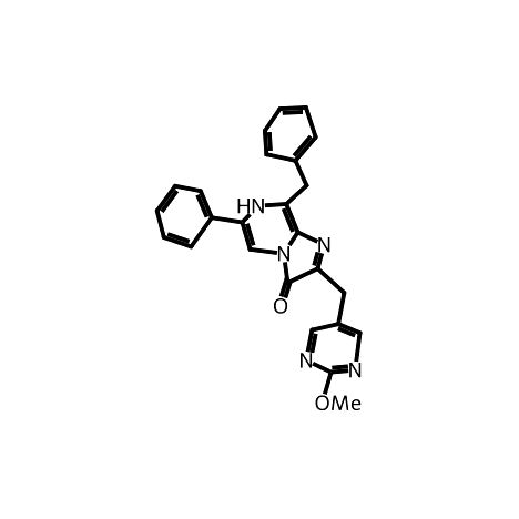 COc1ncc(Cc2nc3c(Cc4ccccc4)[nH]c(-c4ccccc4)cn-3c2=O)cn1